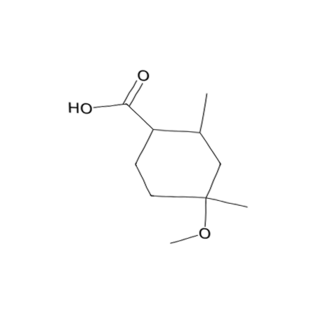 COC1(C)CCC(C(=O)O)C(C)C1